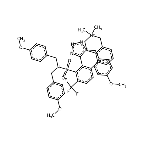 COc1ccc(CN(Cc2ccc(OC)cc2)S(=O)(=O)c2c(C(F)(F)F)ccc(-c3cccc4c3CC[N+](C)(C)C4)c2-c2nnnn2Cc2ccc(OC)cc2)cc1